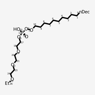 CCCCCCCCCCCCCCCCCCCCOOP(=O)(O)OCCOCCOCCOCC